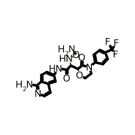 NON[C@@H](C(=O)Nc1ccc2c(N)nccc2c1)[C@H]1OCCN(c2ccc(C(F)(F)F)cc2)C1=O